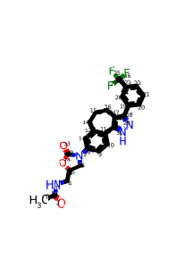 CC(=O)NCC1CN(c2ccc3c(c2)CCCc2c(-c4cccc(C(F)(F)F)c4)n[nH]c2-3)C(=O)O1